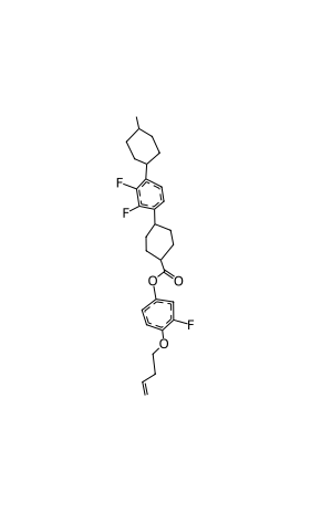 C=CCCOc1ccc(OC(=O)C2CCC(c3ccc(C4CCC(C)CC4)c(F)c3F)CC2)cc1F